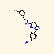 NCc1ccc(-c2cnc3ccc(NCCc4cccc(C(F)(F)F)c4)nn23)cc1